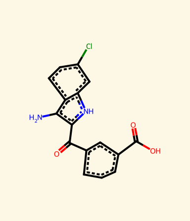 Nc1c(C(=O)c2cccc(C(=O)O)c2)[nH]c2cc(Cl)ccc12